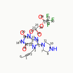 CC#CCn1c(N2CCNCC2)nc2c1c(=O)n(C)c(=O)n2OC(=O)COC(=O)C(F)(F)F